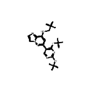 CC(C)(C)CNc1cc(-c2cnc(OC(C)(C)C)nc2OC(C)(C)C)nn2ccnc12